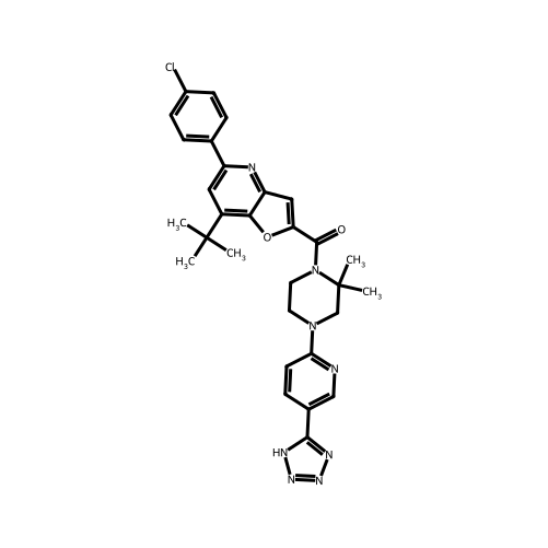 CC(C)(C)c1cc(-c2ccc(Cl)cc2)nc2cc(C(=O)N3CCN(c4ccc(-c5nnn[nH]5)cn4)CC3(C)C)oc12